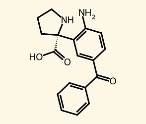 Nc1ccc(C(=O)c2ccccc2)cc1[C@@]1(C(=O)O)CCCN1